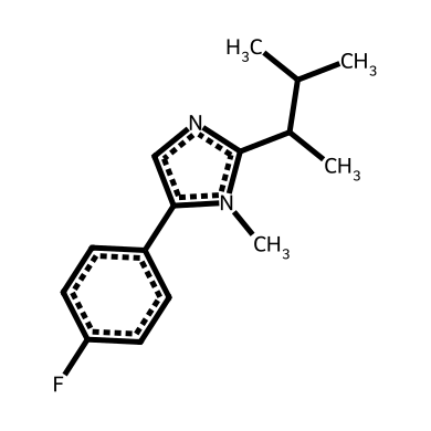 CC(C)C(C)c1ncc(-c2ccc(F)cc2)n1C